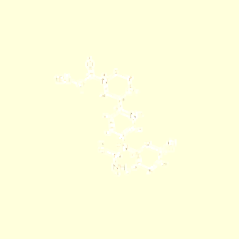 CC(C)(C)OC(=O)N1CCOC(c2ccc(N(C(N)=O)c3cccc(Cl)c3)cn2)C1